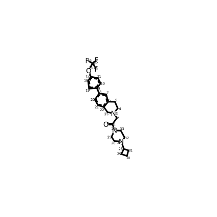 O=C(CN1CCc2cc(-c3ccc(OC(F)(F)F)cc3)ccc2C1)N1CCN(C2CCC2)CC1